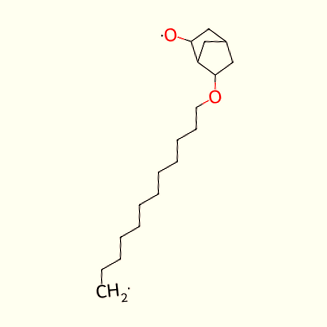 [CH2]CCCCCCCCCCCOC1CC2CC([O])C1C2